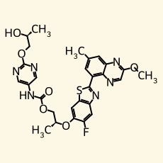 COc1cnc2c(-c3nc4cc(F)c(O[C@@H](C)COC(=O)Nc5cnc(OC[C@H](C)O)nc5)cc4s3)cc(C)cc2n1